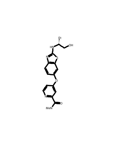 CC[C@H](CO)Nc1nc2ccc(Oc3ccnc(C(=O)NC)c3)cc2s1